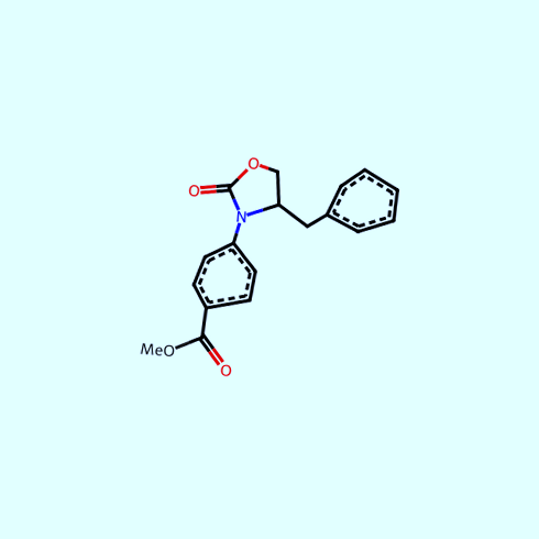 COC(=O)c1ccc(N2C(=O)OCC2Cc2ccccc2)cc1